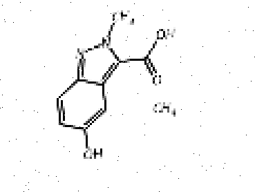 C.Cn1nc2ccc(O)cc2c1C(=O)O